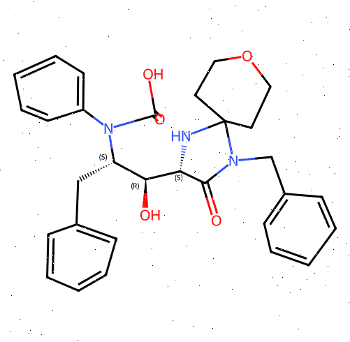 O=C(O)N(c1ccccc1)[C@@H](Cc1ccccc1)[C@H](O)[C@@H]1NC2(CCOCC2)N(Cc2ccccc2)C1=O